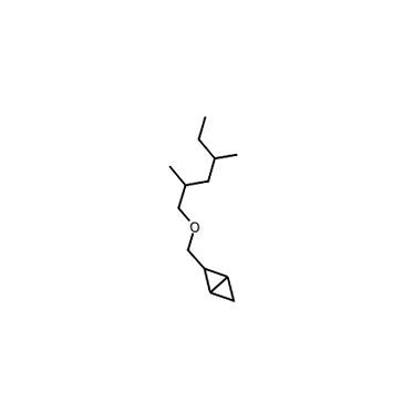 CCC(C)CC(C)COCC1C2CC12